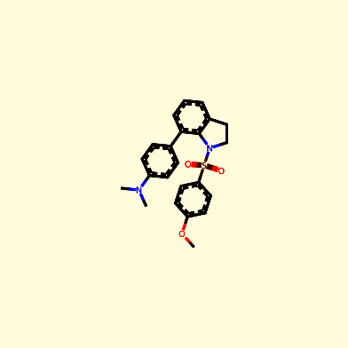 COc1ccc(S(=O)(=O)N2CCc3cccc(-c4ccc(N(C)C)cc4)c32)cc1